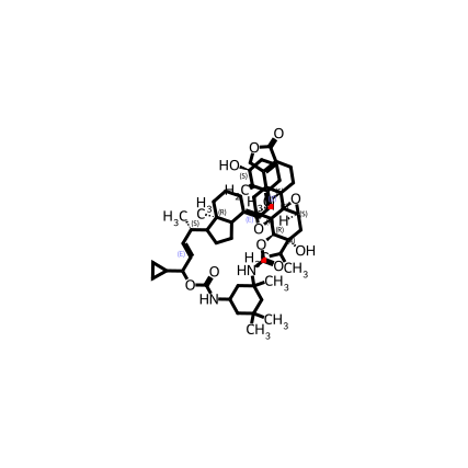 C=C1/C(=C\C=C2/CCC[C@@]3(C)C2CCC3[C@@H](C)/C=C/C(OC(=O)NC2CC(C)(C)CC(C)(NC(=O)O[C@H]3[C@]45O[C@H]4CC4C6=C(CC[C@]4(C)[C@@]54O[C@H]4C[C@@]3(O)C(C)C)C(=O)OC6)C2)C2CC2)CCC[C@@H]1O